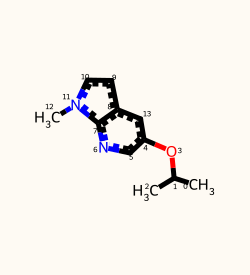 CC(C)Oc1cnc2c(ccn2C)c1